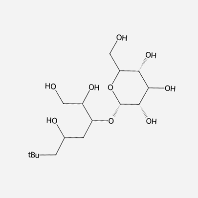 CC(C)(C)CC(O)CC(O[C@@H]1OC(CO)[C@H](O)C(O)[C@@H]1O)C(O)CO